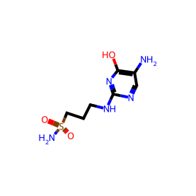 Nc1cnc(NCCCS(N)(=O)=O)nc1O